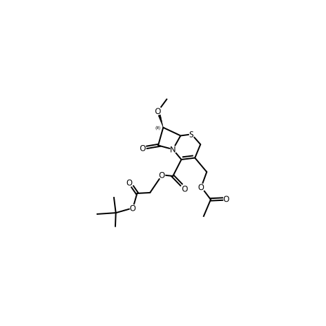 CO[C@@H]1C(=O)N2C(C(=O)OCC(=O)OC(C)(C)C)=C(COC(C)=O)CSC12